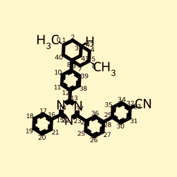 C[C@@H]1C[C@@H]2C[C@H](C)CC(c3ccc(-c4nc(-c5ccccc5)nc(-c5cccc(-c6ccc(C#N)cc6)c5)n4)cc3)(C1)C2